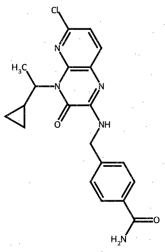 CC(C1CC1)n1c(=O)c(NCc2ccc(C(N)=O)cc2)nc2ccc(Cl)nc21